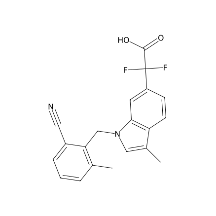 Cc1cccc(C#N)c1Cn1cc(C)c2ccc(C(F)(F)C(=O)O)cc21